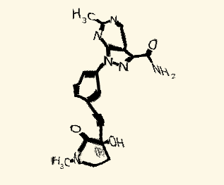 Cc1ncc2c(C(N)=O)nn(-c3cccc(C#C[C@]4(O)CCN(C)C4=O)c3)c2n1